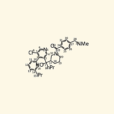 [CH2]CCC(O)(c1cncc(Cl)c1-c1cccc(C(C)C)c1)C1CCCN(C(=O)c2ccc(CNC)cc2)C1